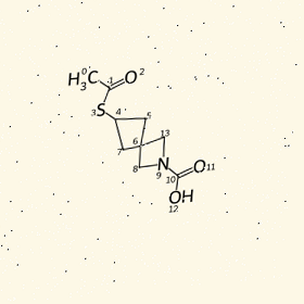 CC(=O)SC1CC2(C1)CN(C(=O)O)C2